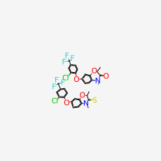 CC1Oc2cc(Oc3ccc(C(F)(F)F)cc3Cl)ccc2N(C)C1=O.CC1Oc2cc(Oc3ccc(C(F)(F)F)cc3Cl)ccc2N(C)C1=S